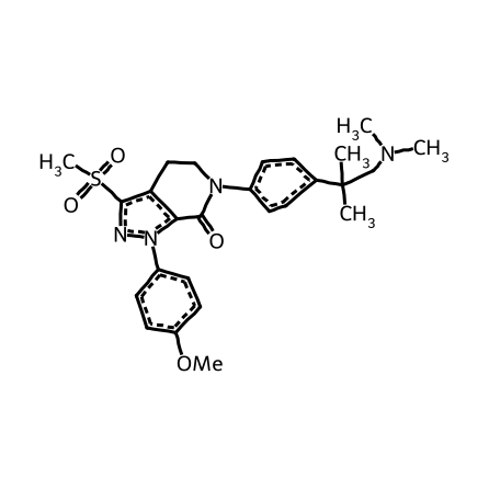 COc1ccc(-n2nc(S(C)(=O)=O)c3c2C(=O)N(c2ccc(C(C)(C)CN(C)C)cc2)CC3)cc1